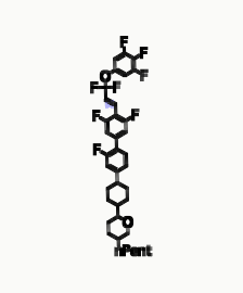 CCCCCC1CCC(C2CCC(c3ccc(-c4cc(F)c(/C=C/C(F)(F)Oc5cc(F)c(F)c(F)c5)c(F)c4)c(F)c3)CC2)OC1